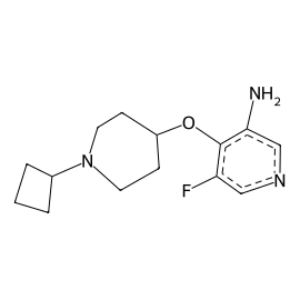 Nc1cncc(F)c1OC1CCN(C2CCC2)CC1